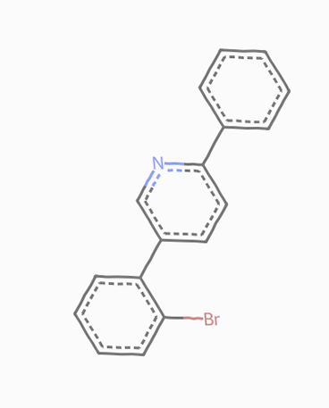 Brc1ccccc1-c1ccc(-c2ccccc2)nc1